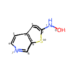 ONc1cc2ccncc2s1